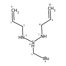 C=CCN[SiH](CC(C)(C)C)NCC=C